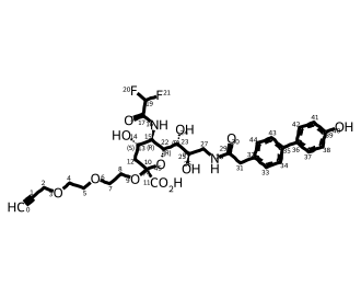 C#CCOCCOCCO[C@]1(C(=O)O)C[C@H](O)[C@@H](NC(=O)C(F)F)[C@H]([C@H](O)[C@H](O)CNC(=O)Cc2ccc(-c3ccc(O)cc3)cc2)O1